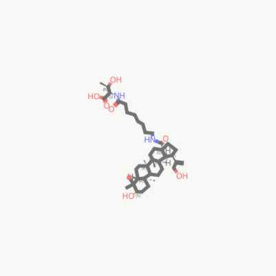 C=C(CO)[C@@H]1CC[C@]2(C(=O)NCCCCCCCC(=O)N[C@H](C(=O)O)[C@@H](C)O)CC[C@]3(C)[C@H](CCC4[C@@]5(C)CC[C@H](O)C(C)(C)[C@@H]5CC[C@]43C)[C@@H]12